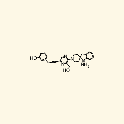 N[C@@H]1c2ccccc2CC12CCN(c1ncc(C#CCc3cccc(O)c3)nc1CO)CC2